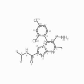 Cc1nc2nc(C(=O)NC(C)C)cn2c(-c2ccc(Cl)cc2Cl)c1CN